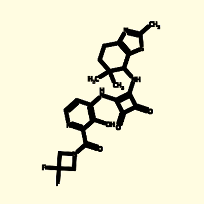 Cc1nc2c(s1)C(Nc1c(Nc3ccnc(C(=O)N4CC(F)(F)C4)c3O)c(=O)c1=O)C(C)(C)CC2